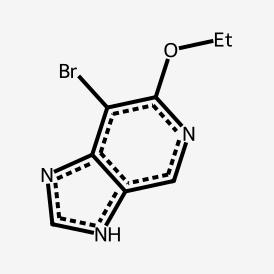 CCOc1ncc2[nH]cnc2c1Br